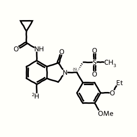 [2H]c1ccc(NC(=O)C2CC2)c2c1CN([C@H](CS(C)(=O)=O)c1ccc(OC)c(OCC)c1)C2=O